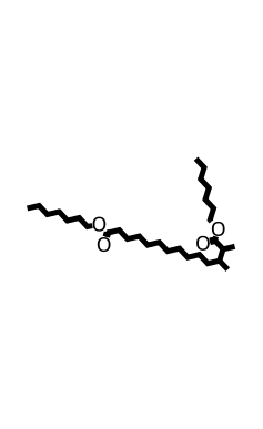 CCCCCCCOC(=O)CCCCCCCCCCC(C)C(C)C(=O)OCCCCCCC